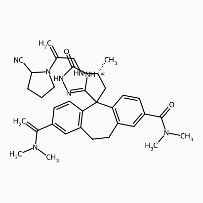 C=C(c1ccc2c(c1)CCc1cc(C(=O)N(C)C)ccc1C2(C[C@@H](C)NCC(=C)N1CCCC1C#N)c1n[nH]c(=O)[nH]1)N(C)C